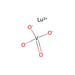 [Lu+3].[O]=[V]([O-])([O-])[O-]